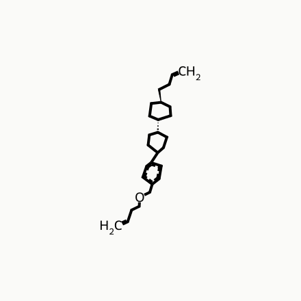 C=CCCOCc1ccc(C2CCC([C@H]3CC[C@H](CCC=C)CC3)CC2)cc1